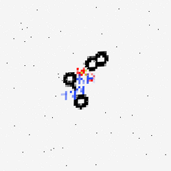 O=S(=O)(Nc1ccccc1-c1nc2ccccc2[nH]1)c1ccc2ccccc2c1